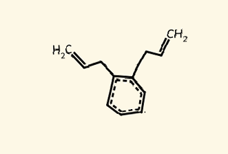 C=CCc1c[c]ccc1CC=C